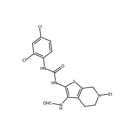 CCN1CCc2c(sc(NC(=O)Nc3ccc(Cl)cc3Cl)c2NC=O)C1